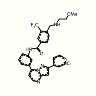 COCCNCc1ccc(C(=O)Nc2cccc(-c3ccnc4cc(-c5ccncc5)nn34)c2)cc1C(F)(F)F.Cl